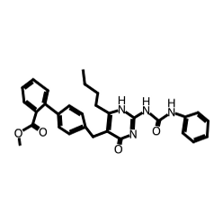 CCCCc1[nH]c(NC(=O)Nc2ccccc2)nc(=O)c1Cc1ccc(-c2ccccc2C(=O)OC)cc1